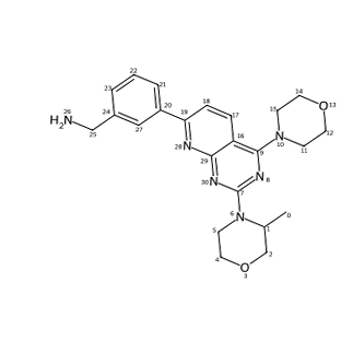 CC1COCCN1c1nc(N2CCOCC2)c2ccc(-c3cccc(CN)c3)nc2n1